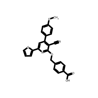 COc1ccc(-c2cc(-c3cccs3)nc(OCc3ccc(C(=O)O)cc3)c2C#N)cc1